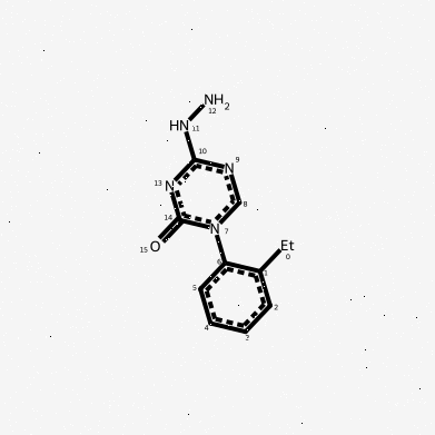 CCc1ccccc1-n1cnc(NN)nc1=O